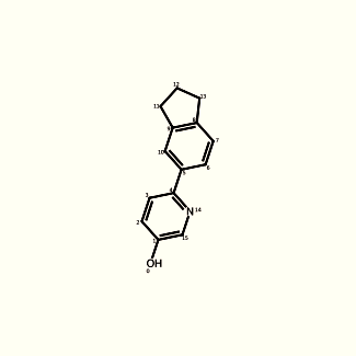 Oc1ccc(-c2ccc3c(c2)CCC3)nc1